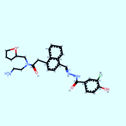 NCCN(CC1CCCO1)C(=O)Cc1ccc(/C=N/NC(=O)c2ccc(O)c(Cl)c2)c2ccccc12